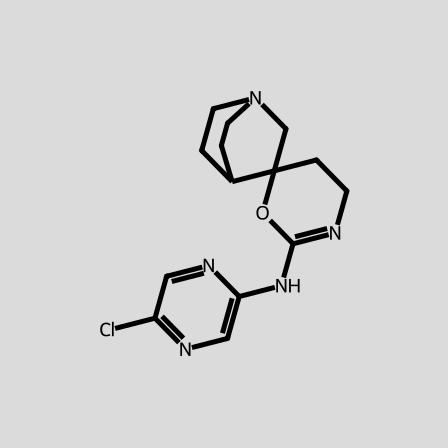 Clc1cnc(NC2=NCCC3(CN4CCC3CC4)O2)cn1